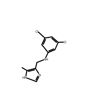 Cc1[nH]cnc1CNc1cc(Cl)cc(Cl)c1